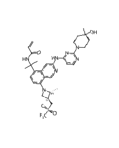 C=CC(=O)NC(C)(C)c1ccc(N2C[C@H](CS(=O)(=O)C(F)(F)F)[C@H]2C)c2cnc(Nc3ccnc(N4CCC(C)(O)CC4)n3)cc12